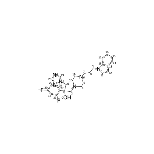 OC(CN1CCN(CCCn2ccc3ccccc32)CC1)(Cn1cncn1)c1ccc(F)cc1F